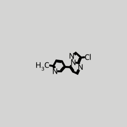 Cc1ccc(-c2ccnc3c(Cl)cnn23)cn1